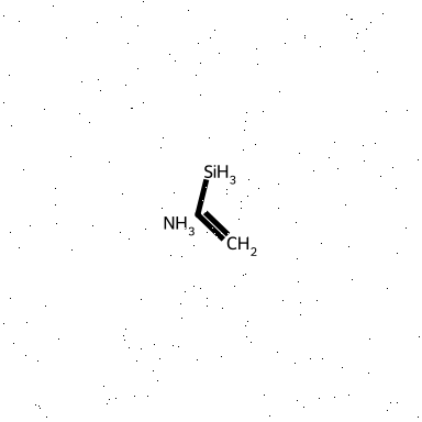 C=C[SiH3].N